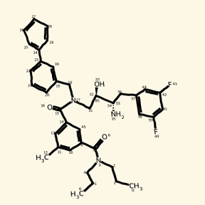 CCCN(CCC)C(=O)c1cc(C)cc(C(=O)N(Cc2cccc(-c3ccccc3)c2)C[C@@H](O)[C@@H](N)Cc2cc(F)cc(F)c2)c1